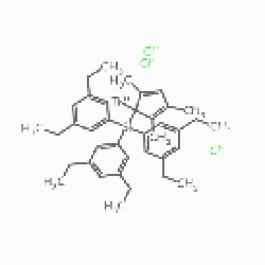 CCc1cc(CC)cc([Si](c2cc(CC)cc(CC)c2)(c2cc(CC)cc(CC)c2)[C]2([Ti+3])C(C)=CC(C)=C2C)c1.[Cl-].[Cl-].[Cl-]